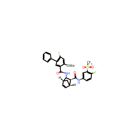 COc1cc(F)c(-c2ccccc2)cc1C(=O)N[C@H]1[C@@H](C(=O)Nc2ccc(F)c(S(=O)(=O)C(F)(F)F)c2)[C@@H]2C=C[C@H]1C2